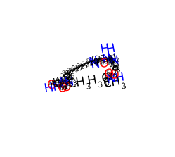 CC(C)NC(=O)O[C@@H]1CC[C@H](c2cc(NC(=O)Cc3cnn(CCCCCCCCCc4ccc5c(c4)n(C)c(=O)n5C4CCC(=O)NC4=O)c3)[nH]n2)C1